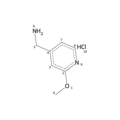 COc1cc(CN)ccn1.Cl